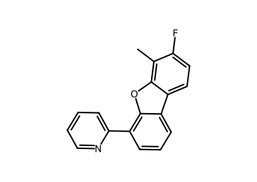 Cc1c(F)ccc2c1oc1c(-c3ccccn3)cccc12